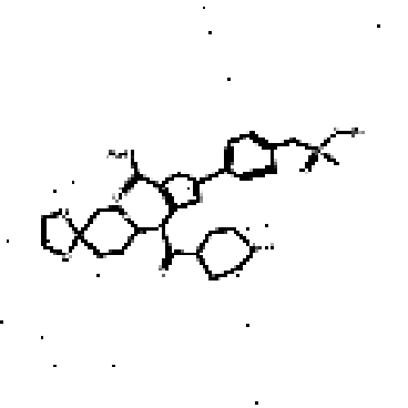 CCOP(C)(=O)Cc1ccc(-c2cc(N(C(=O)[C@H]3CC[C@H](C)CC3)C3CCC4(CC3)OCCO4)c(C(=O)OC)s2)cc1